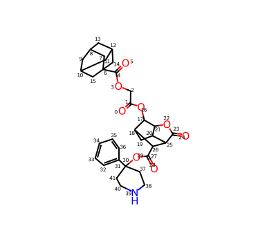 O=C(COC(=O)C12CC3CC(CC(C3)C1)C2)OC1C2CC3C1OC(=O)C3C2C(=O)OC1(c2ccccc2)CCNCC1